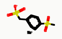 CS(=O)(=O)c1ccc(CS(=O)(=O)[O-])cc1.[Na+]